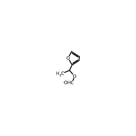 CC(O[C]=O)c1ccco1